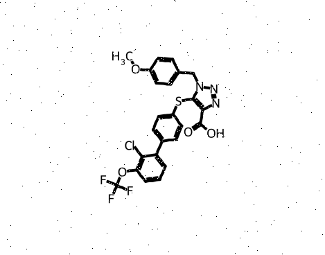 COc1ccc(Cn2nnc(C(=O)O)c2Sc2ccc(-c3cccc(OC(F)(F)F)c3Cl)cc2)cc1